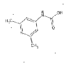 Cc1cc(NC(=O)O)cc(C)n1